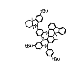 Cc1cc2c3c4c1C1(C)c5ccccc5-c5cccc(c51)N4c1cc(N4c5ccc(C(C)(C)C)cc5C5(C)CCCCC45C)ccc1B3c1cc(C(C)(C)C)ccc1N2c1ccc(C(C)(C)C)cc1